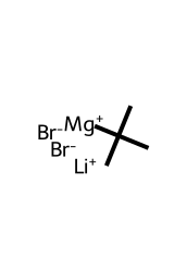 C[C](C)(C)[Mg+].[Br-].[Br-].[Li+]